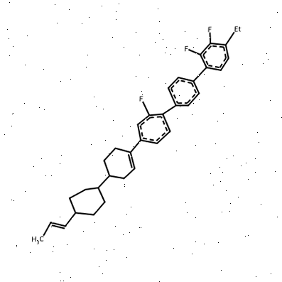 C/C=C/C1CCC(C2CC=C(c3ccc(-c4ccc(-c5ccc(CC)c(F)c5F)cc4)c(F)c3)CC2)CC1